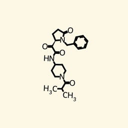 CC(C)C(=O)N1CCC(NC(=O)C(=O)[C@H]2CCC(=O)N2Cc2ccccc2)CC1